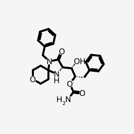 NC(=O)O[C@@H](Cc1ccccc1)[C@@H](O)[C@@H]1NC2(CCOCC2)N(Cc2ccccc2)C1=O